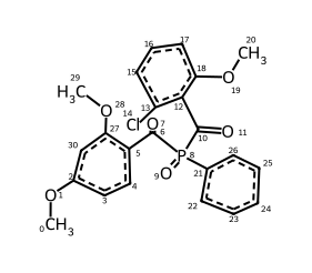 COc1ccc(C(=O)P(=O)(C(=O)c2c(Cl)cccc2OC)c2ccccc2)c(OC)c1